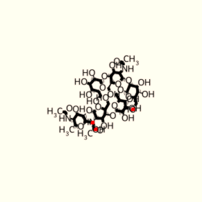 CC(=O)NC1C(O)[C@H](O[C@@H]2OC(CO)[C@H](O)C(O)[C@@H]2O)[C@H](CO)O[C@H]1O[C@@H]1C(O)[C@H](O)C(CO)O[C@@H]1OCC1O[C@@H](O[C@@H]2C(CO)O[C@@H](O[C@@H]3C(CO)O[C@@H](C)[C@@H](NC(C)=O)C3O)[C@@H](NC(C)=O)C2O)[C@H](O)C(O)[C@@H]1O